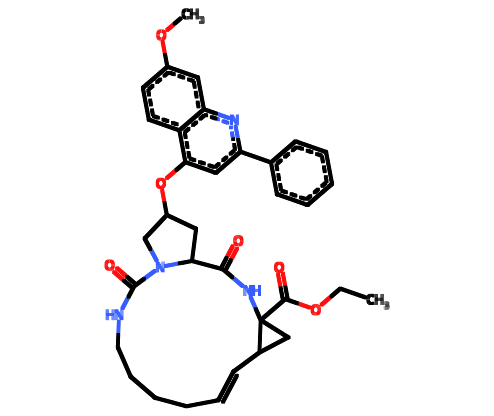 CCOC(=O)C12CC1/C=C/CCCCNC(=O)N1CC(Oc3cc(-c4ccccc4)nc4cc(OC)ccc34)CC1C(=O)N2